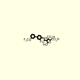 O=C(O)C1=C(C(=O)Nc2ccc(-c3cccc(OC(F)(F)F)c3)cc2F)C(O)OC1C(=O)O